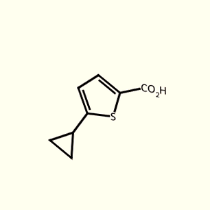 O=C(O)c1ccc(C2CC2)s1